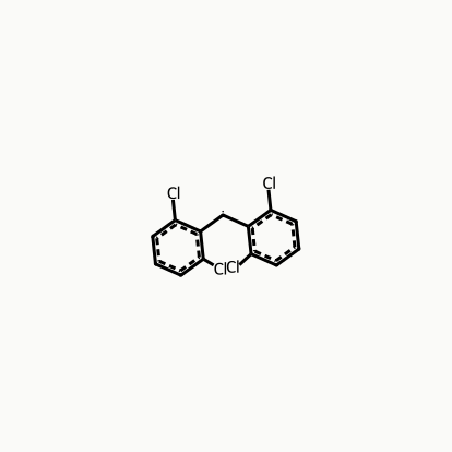 Clc1cccc(Cl)c1[CH]c1c(Cl)cccc1Cl